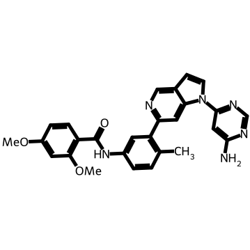 COc1ccc(C(=O)Nc2ccc(C)c(-c3cc4c(ccn4-c4cc(N)ncn4)cn3)c2)c(OC)c1